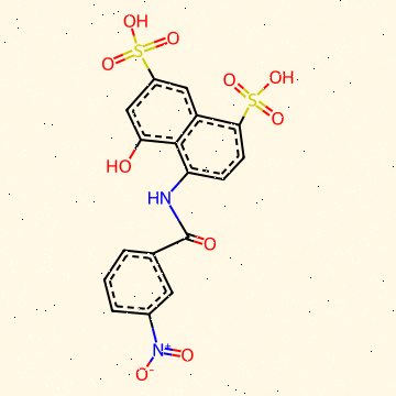 O=C(Nc1ccc(S(=O)(=O)O)c2cc(S(=O)(=O)O)cc(O)c12)c1cccc([N+](=O)[O-])c1